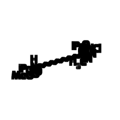 COC(=O)[C@@H](NC(=O)CCCCCCCCCCCCCCCn1c(C)nc2nc(Cl)nc(S(=O)(=O)C(C)C)c21)C(C)C